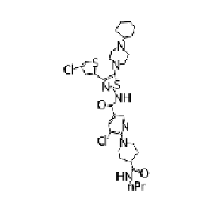 CCCNC(=O)C1CCN(c2ncc(C(=O)Nc3nc(-c4cc(Cl)cs4)c(N4CCN(C5CCCCC5)CC4)s3)cc2Cl)CC1